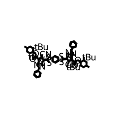 CC1CC(C(C)(C)C)C(OC(=O)c2c(C#N)c(=C3Sc4cc5c(cc4S3)SC(=c3c(C#N)c(C(=O)OC4C(C(C)(C)C)CC(C)CC4C(C)(C)C)c4nc(-c6ccccc6)nn34)S5)n3nc(-c4ccccc4)nc23)C(C(C)(C)C)C1